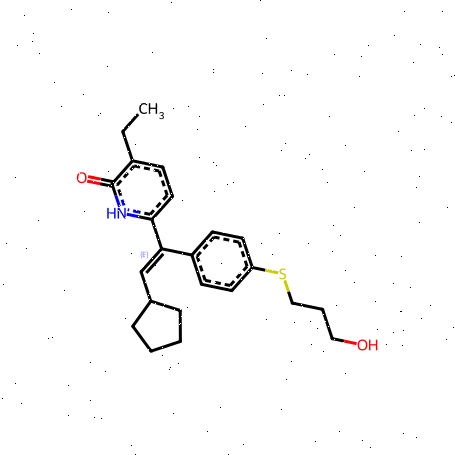 CCc1ccc(/C(=C/C2CCCC2)c2ccc(SCCCO)cc2)[nH]c1=O